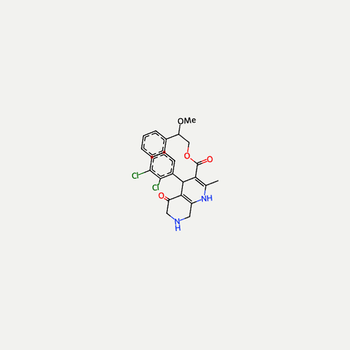 COC(COC(=O)C1=C(C)NC2=C(C(=O)CNC2)C1c1cccc(Cl)c1Cl)c1ccccc1